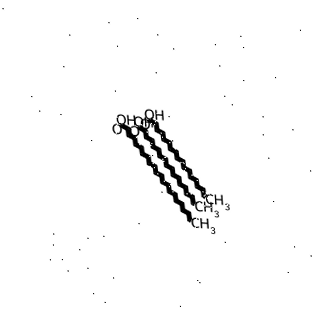 CCCCCCCCCCCCCCCCCC(=O)O.CCCCCCCCCCCCCCCCCC(=O)O.CCCCCCCCCCCCCCCCCCCCCC(=O)O